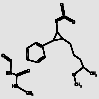 CNC(=O)NC=O.COC(C)CCCC1C(N=S(=O)=O)C1c1ccccc1